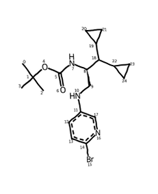 CC(C)(C)OC(=O)N[C@H](CNc1ccc(Br)nc1)C(C1CC1)C1CC1